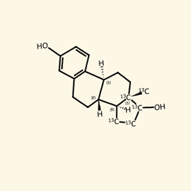 [13CH3][13C@]12CC[C@@H]3c4ccc(O)cc4CC[C@H]3[C@@H]1[13CH2][13CH2][13CH]2O